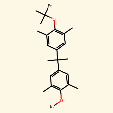 CCOc1c(C)cc(C(C)(C)c2cc(C)c(OC(C)(C)CC)c(C)c2)cc1C